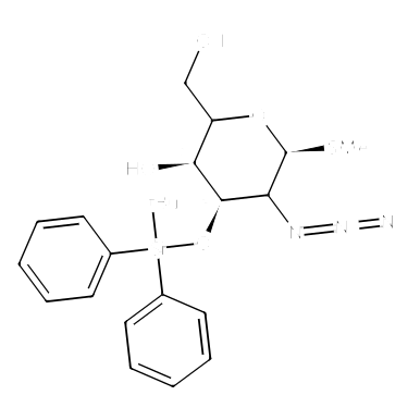 CS[C@@H]1OC(CO)[C@H](O)[C@H](O[Si](c2ccccc2)(c2ccccc2)C(C)(C)C)C1N=[N+]=[N-]